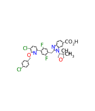 CC1(C)COCC1n1c(Cc2cc(F)c(-c3ccc(Cl)c(OCc4ccc(Cl)cc4)n3)cc2F)nc2ccc(C(=O)O)cc21